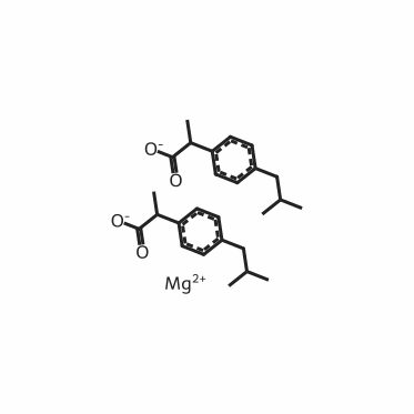 CC(C)Cc1ccc(C(C)C(=O)[O-])cc1.CC(C)Cc1ccc(C(C)C(=O)[O-])cc1.[Mg+2]